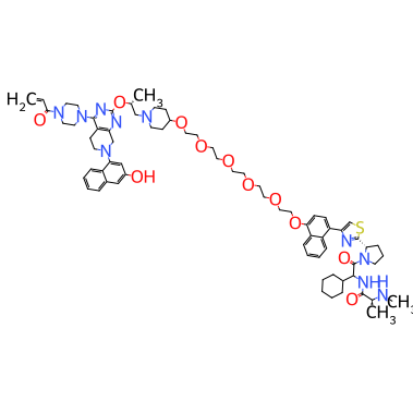 C=CC(=O)N1CCN(c2nc(O[C@H](C)CN3CCC(OCCOCCOCCOCCOCCOc4ccc(-c5csc([C@@H]6CCCN6C(=O)C(NC(=O)[C@H](C)NC)C6CCCCC6)n5)c5ccccc45)CC3)nc3c2CCN(c2cc(O)cc4ccccc24)C3)CC1